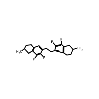 CC1CCc2cc(CCc3cc4c(c(F)c3F)CC(C)CC4)c(F)c(F)c2C1